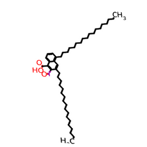 CCCCCCCCCCCCCCCCCCc1cc2c(CCCCCCCCCCCCCCCCCC)cccc2c(C(=O)O)c1I=O